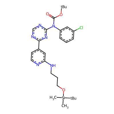 CC(C)(C)OC(=O)N(c1cccc(Cl)c1)c1ncnc(-c2ccnc(NCCCO[Si](C)(C)C(C)(C)C)c2)n1